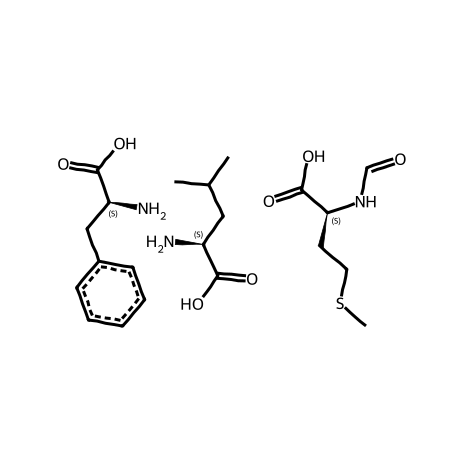 CC(C)C[C@H](N)C(=O)O.CSCC[C@H](NC=O)C(=O)O.N[C@@H](Cc1ccccc1)C(=O)O